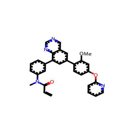 C=CC(=O)N(C)c1cccc(-c2cc(-c3ccc(Oc4ccccn4)cc3OC)cc3cncnc23)c1